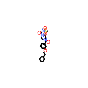 CN(C(=O)N1CCN(C(=O)c2cccc(OCCC3CCCCC3)c2)CC1)S(C)(=O)=O